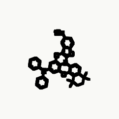 CC(C)(C)c1ccc2oc3c(c2c1)Oc1cc(N(c2ccccc2)c2ccccc2)cc2c1B3c1ccc3c(c1O2)C(C)(C)CCC3(C)C